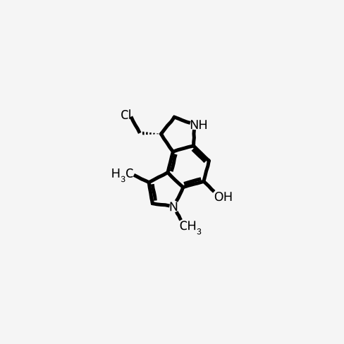 Cc1cn(C)c2c(O)cc3c(c12)[C@H](CCl)CN3